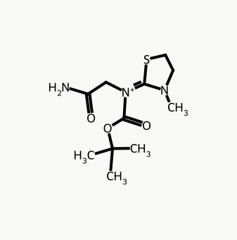 CN1CCSC1=[N+](CC(N)=O)C(=O)OC(C)(C)C